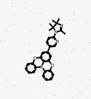 CC1=NC(C)(C)C(C)(C)N1c1ccc(-c2cc3c4c(c2)Oc2ccccc2B4c2ccccc2O3)cn1